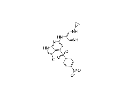 N=C/C(=C\NC1CC1)Nc1nc(S(=O)(=O)c2ccc([N+](=O)[O-])cc2)c2c(Cl)c[nH]c2n1